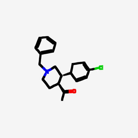 CC(=O)[C@H]1CCN(Cc2ccccc2)C[C@@H]1C1C=CC(Cl)=CC1